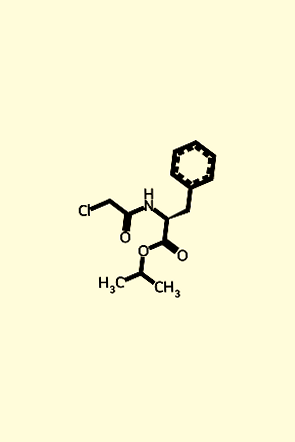 CC(C)OC(=O)[C@H](Cc1ccccc1)NC(=O)CCl